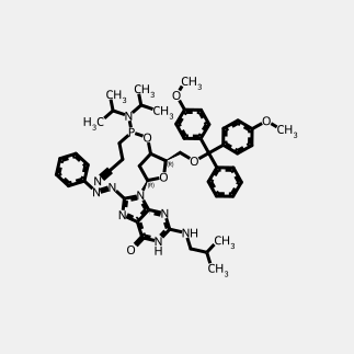 COc1ccc(C(OC[C@H]2O[C@@H](n3c(N=Nc4ccccc4)nc4c(=O)[nH]c(NCC(C)C)nc43)CC2OP(CCC#N)N(C(C)C)C(C)C)(c2ccccc2)c2ccc(OC)cc2)cc1